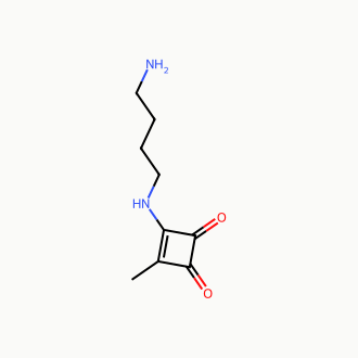 Cc1c(NCCCCN)c(=O)c1=O